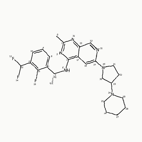 Cc1nc(N[C@H](C)c2cccc(C(F)F)c2F)c2cc(N3CCC(N4CCCCC4)C3)ncc2n1